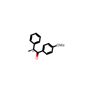 COc1ccc(C(=O)[C@@H](C)c2ccccc2)cc1